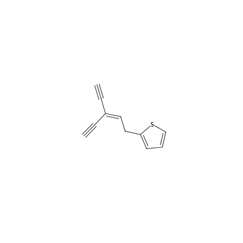 C#CC(C#C)=CCc1cccs1